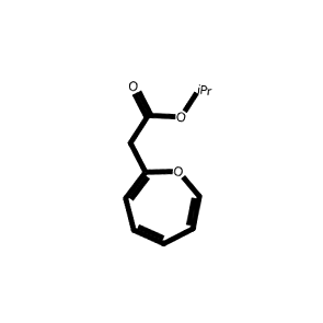 CC(C)OC(=O)CC1=CC=CC=CO1